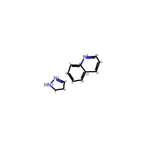 C1=NNCC1.c1ccc2ncccc2c1